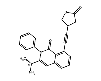 C[C@H](N)c1cc2cccc(C#CC3COC(=O)C3)c2c(=O)n1-c1ccccc1